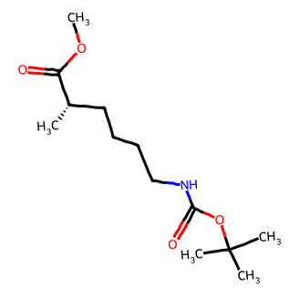 COC(=O)[C@@H](C)CCCCNC(=O)OC(C)(C)C